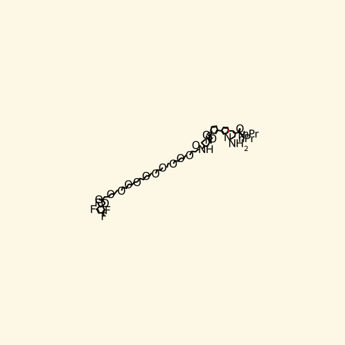 CCCN(CCC)C(=O)C1=Cc2ccc(-c3cccc(S(=O)(=O)N4CCC(NC(=O)CCOCCOCCOCCOCCOCCOCCOCCOCCOCCOCCC(=O)Oc5c(F)c(F)cc(F)c5F)CC4)c3)cc2N=C(N)C1